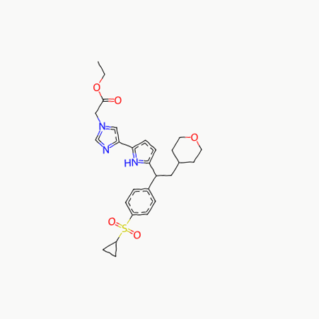 CCOC(=O)Cn1cnc(-c2ccc(C(CC3CCOCC3)c3ccc(S(=O)(=O)C4CC4)cc3)[nH]2)c1